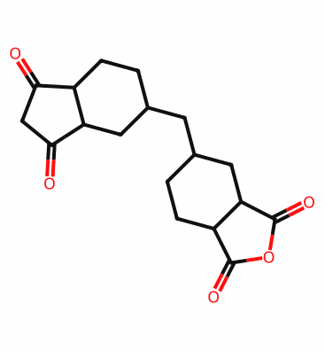 O=C1CC(=O)C2CC(CC3CCC4C(=O)OC(=O)C4C3)CCC12